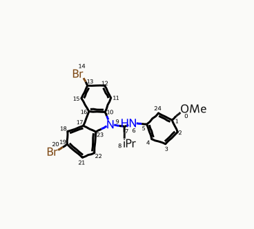 COc1cccc(NC(C(C)C)n2c3ccc(Br)cc3c3cc(Br)ccc32)c1